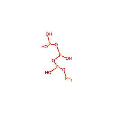 OP(O)OP(O)OP(O)OP